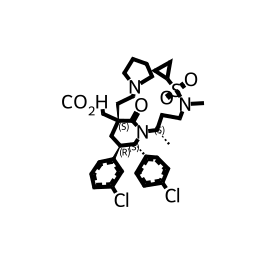 C[C@@H](CCN(C)S(=O)(=O)C1CC1)N1C(=O)[C@@](CCN2CCCC2)(CC(=O)O)C[C@H](c2cccc(Cl)c2)[C@H]1c1ccc(Cl)cc1